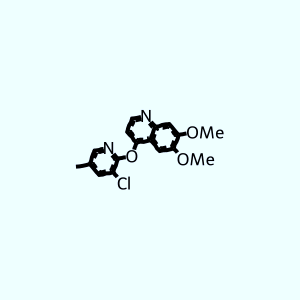 COc1cc2nccc(Oc3ncc(C)cc3Cl)c2cc1OC